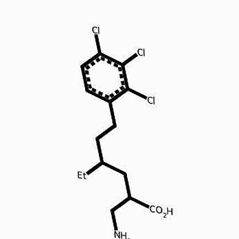 CCC(CCc1ccc(Cl)c(Cl)c1Cl)CC(CN)C(=O)O